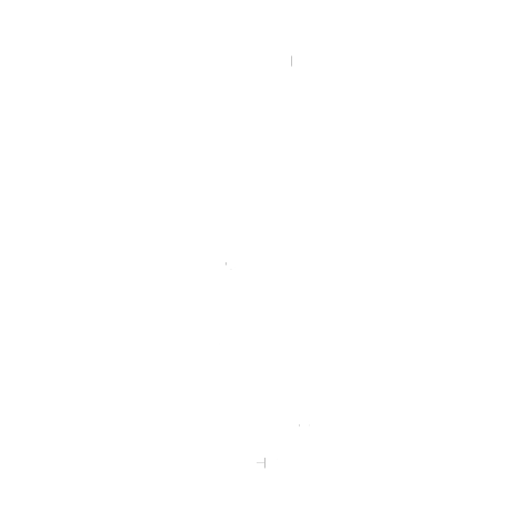 COc1ccc2oc(-c3ccc(C)cc3)cc2c1